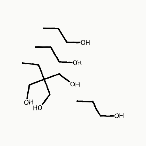 CCC(CO)(CO)CO.CCCO.CCCO.CCCO